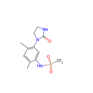 Cc1cc(C)c(N2CCNC2=O)cc1NS(=O)(=O)C(F)(F)F